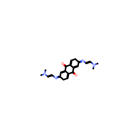 CN(C)C=CN=C1C=C2C(=O)C3=CCC(=NC=CN(C)C)C=C3C(=O)C2=CC1